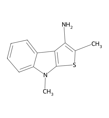 Cc1sc2c(c1N)c1ccccc1n2C